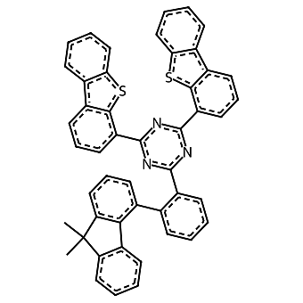 CC1(C)c2ccccc2-c2c(-c3ccccc3-c3nc(-c4cccc5c4sc4ccccc45)nc(-c4cccc5c4sc4ccccc45)n3)cccc21